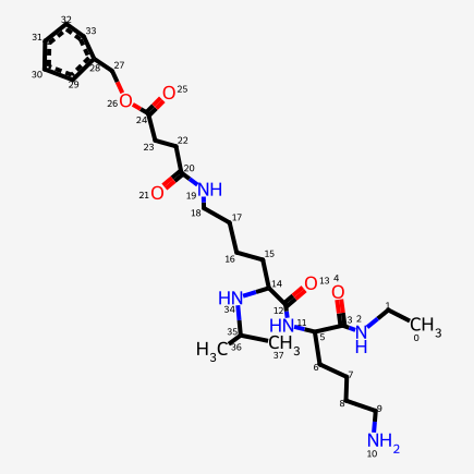 CCNC(=O)C(CCCCN)NC(=O)C(CCCCNC(=O)CCC(=O)OCc1ccccc1)NC(C)C